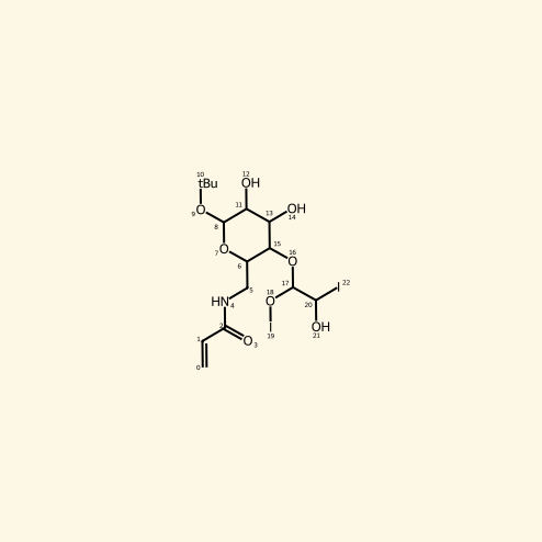 C=CC(=O)NCC1OC(OC(C)(C)C)C(O)C(O)C1OC(OI)C(O)I